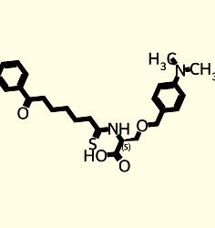 CN(C)c1ccc(COC[C@H](NC(=S)CCCCCC(=O)c2ccccc2)C(=O)O)cc1